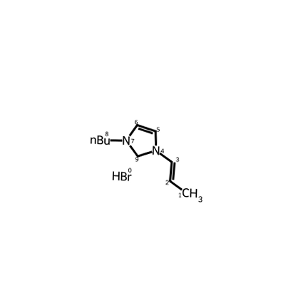 Br.CC=CN1C=CN(CCCC)C1